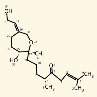 CC(C)=CCC(=O)[C@H](C)CCC[C@]1(C)OC/C(=C/CO)CC[C@H]1O